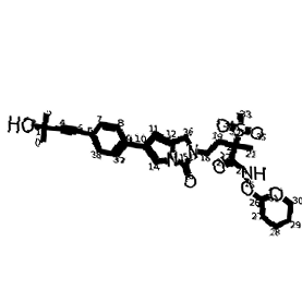 CC(C)(O)C#Cc1ccc(-c2cc3n(c2)C(=O)N(CCC(C)(C(=O)NOC2CCCCO2)S(C)(=O)=O)C3)cc1